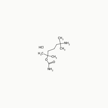 CC(C)(N)CCCC(C)(C)OC(N)=O.Cl